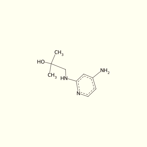 CC(C)(O)CNc1cc(N)ccn1